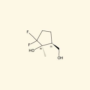 C[C@@]1(O)[C@H](CO)CCC1(F)F